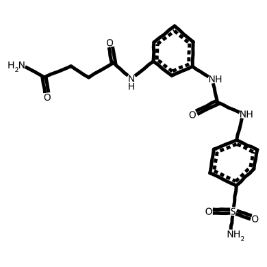 NC(=O)CCC(=O)Nc1cccc(NC(=O)Nc2ccc(S(N)(=O)=O)cc2)c1